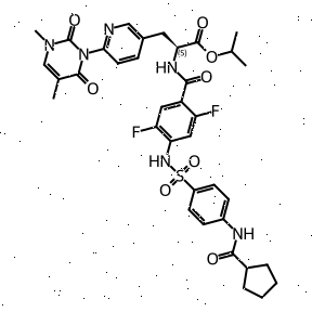 Cc1cn(C)c(=O)n(-c2ccc(C[C@H](NC(=O)c3cc(F)c(NS(=O)(=O)c4ccc(NC(=O)C5CCCC5)cc4)cc3F)C(=O)OC(C)C)cn2)c1=O